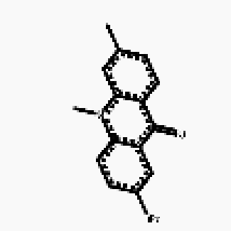 Cc1ccc2c(=O)c3cc(C(C)C)ccc3n(C)c2c1